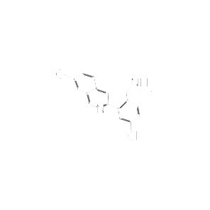 NCc1ccc(Cl)cc1-c1cc2ccc(Cl)cc2cn1